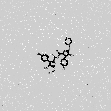 CCCSc1oc(C(=O)OC(=O)c2sc(SN3CCOCC3)c(C#N)c2-c2ccc(Cl)cc2)c(-c2ccc(Cl)cc2)c1C#N